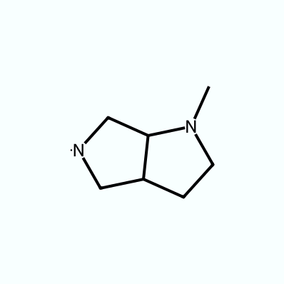 CN1CCC2C[N]CC21